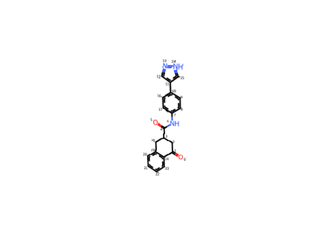 O=C1CC(C(=O)Nc2ccc(-c3cn[nH]c3)cc2)Cc2ccccc21